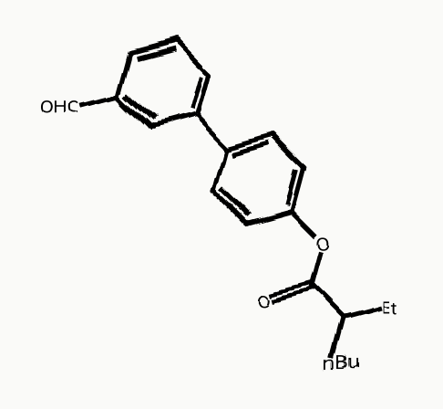 CCCCC(CC)C(=O)Oc1ccc(-c2cccc(C=O)c2)cc1